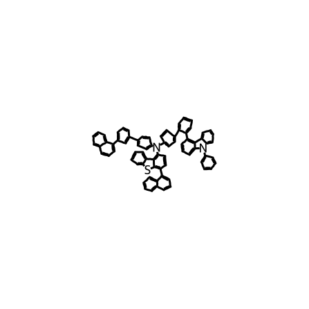 c1ccc(-n2c3ccccc3c3c(-c4ccccc4-c4ccc(N(c5ccc(-c6cccc(-c7cccc8ccccc78)c6)cc5)c5ccc(-c6cccc7ccccc67)c6sc7ccccc7c56)cc4)cccc32)cc1